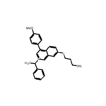 COc1ccc(-c2c[n+](C(C)c3ccccc3)cc3cc(OCCCO)ccc23)cc1